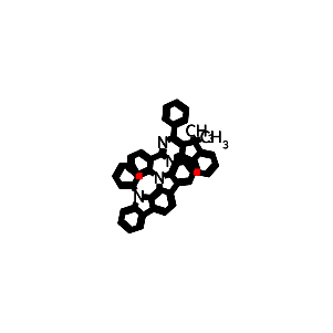 CC1(C)c2ccccc2-c2nc(-c3ccccc3-n3c4ccccc4c4ccc5c6ccccc6n(-c6ccccc6)c5c43)nc(-c3ccccc3)c21